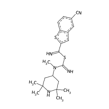 CN(C(=N)SC(=N)c1cc2cc(C#N)ccc2s1)C1CC(C)(C)NC(C)(C)C1